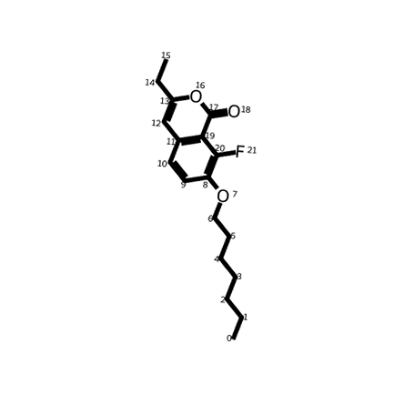 CCCCCCCOc1ccc2cc(CC)oc(=O)c2c1F